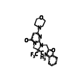 C[C@@]1(C(F)(F)F)Cn2c(nc(N3CCOCC3)cc2=O)N1Cc1nc2ccccc2o1